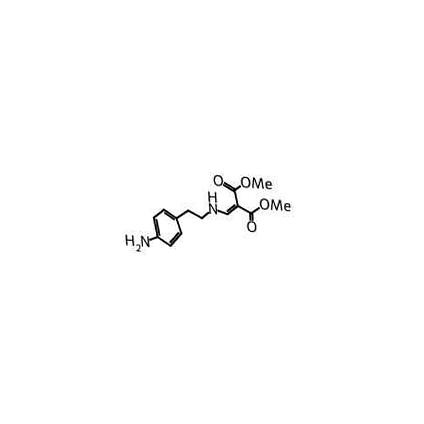 COC(=O)C(=CNCCc1ccc(N)cc1)C(=O)OC